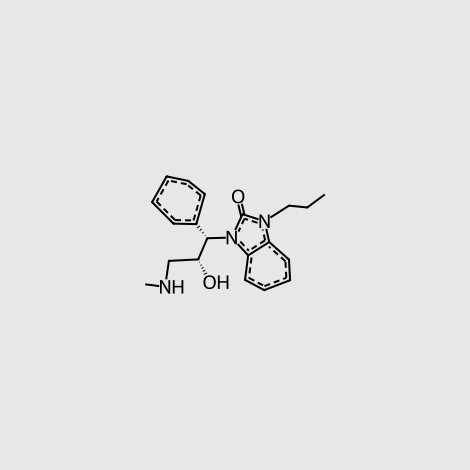 CCCn1c(=O)n([C@@H](c2ccccc2)[C@H](O)CNC)c2ccccc21